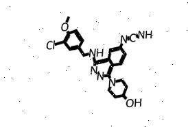 COc1ccc(CNc2nnc(N3CCC(O)CC3)c3ccc(N=C=N)cc23)cc1Cl